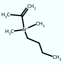 C=C(C)[N+](C)(C)CCCC